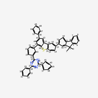 CC1(C)c2ccccc2-c2ccc(-c3ccc4sc5c(-c6cccc(-c7nc(-c8ccccc8)nc(-c8ccccc8)n7)c6)cc(-c6ccccc6)cc5c4c3)cc21